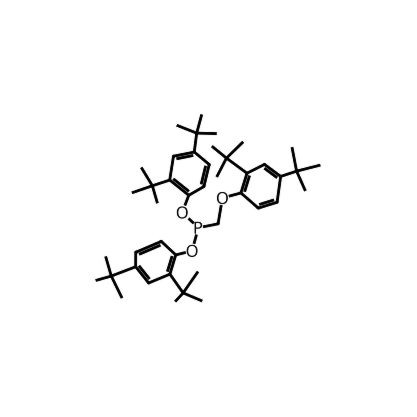 CC(C)(C)c1ccc(OCP(Oc2ccc(C(C)(C)C)cc2C(C)(C)C)Oc2ccc(C(C)(C)C)cc2C(C)(C)C)c(C(C)(C)C)c1